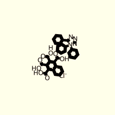 O=C(O)c1c(C(=O)O)c(C(=O)O)c2ccccc2c1C(=O)O.[Cl-].c1ccc(C2=NN=N[N+]2(c2ccccc2)c2ccccc2)cc1